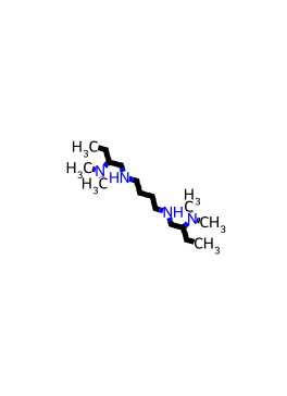 CCC(CNCCCCNCC(CC)N(C)C)N(C)C